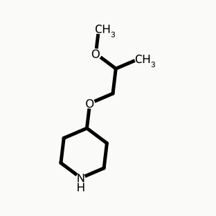 COC(C)COC1CCNCC1